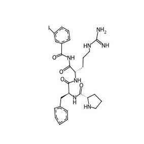 N=C(N)NCCC[C@H](NC(=O)[C@H](Cc1ccccc1)NC(=O)[C@@H]1CCCN1)C(=O)NC(=O)c1cccc(I)c1